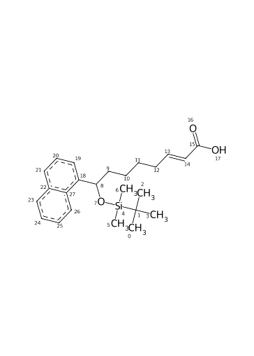 CC(C)(C)[Si](C)(C)OC(CCCCC=CC(=O)O)c1cccc2ccccc12